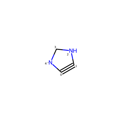 C1#CNC[N]1